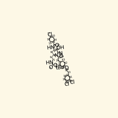 CC(C)(C)OC(=O)NCCCCC(NC(=O)c1ccc(Cl)cc1)C(O)c1noc(Cc2ccc(OCCc3ccc(Cl)c(Cl)c3)cc2)n1